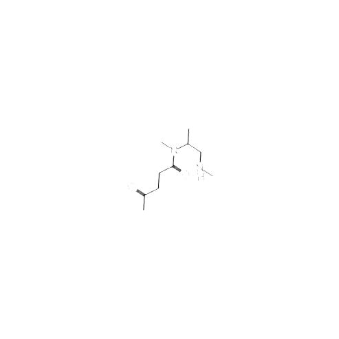 CNCC(C)N(C)C(=O)CCC(C)=O